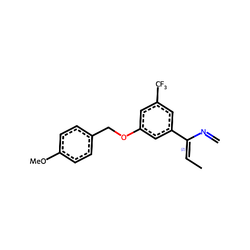 C=N/C(=C\C)c1cc(OCc2ccc(OC)cc2)cc(C(F)(F)F)c1